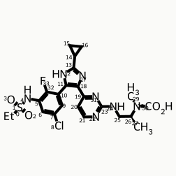 CCS(=O)(=O)Nc1cc(Cl)cc(-c2[nH]c(C3CC3)nc2-c2ccnc(NC[C@H](C)N(C)C(=O)O)n2)c1F